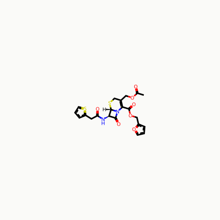 CC(=O)OCC1=C(C(=O)OCc2ccco2)N2C(=O)[C@@H](NC(=O)Cc3cccs3)[C@@H]2SC1